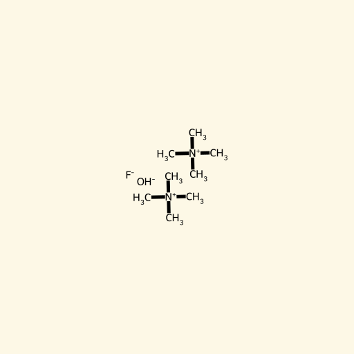 C[N+](C)(C)C.C[N+](C)(C)C.[F-].[OH-]